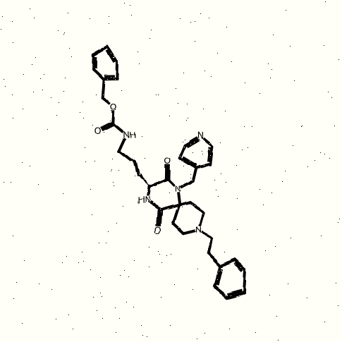 O=C(NCCC[C@@H]1NC(=O)C2(CCN(CCc3ccccc3)CC2)N(Cc2ccncc2)C1=O)OCc1ccccc1